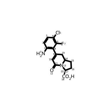 Nc1ccc(Cl)c(F)c1C1=CC(=O)N2C(CC[C@H]2C(=O)O)C1